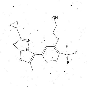 Cc1nc2sc(C3CC3)nn2c1-c1ccc(C(F)(F)F)c(SCCO)c1